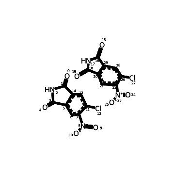 O=C1NC(=O)c2cc([N+](=O)[O-])c(Cl)cc21.O=C1NC(=O)c2cc([N+](=O)[O-])c(Cl)cc21